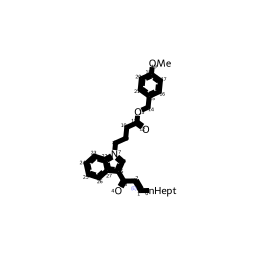 CCCCCCC/C=C/C(=O)c1cn(CCCC(=O)OCc2ccc(OC)cc2)c2ccccc12